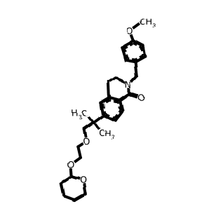 COc1ccc(CN2CCc3cc(C(C)(C)COCCOC4CCCCO4)ccc3C2=O)cc1